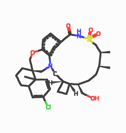 C[C@@H]1CS(=O)(=O)NC(=O)c2ccc3c(c2)N(C[C@@H]2CC[C@H]2[C@H](CO)CC[C@@H]1C)C[C@@]1(CCCC2C=C(Cl)C=CC21C)CO3